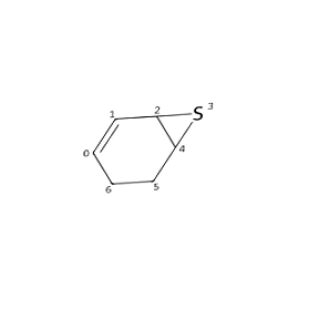 C1=CC2SC2CC1